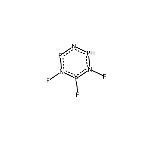 Fn1pn[pH]n(F)p1F